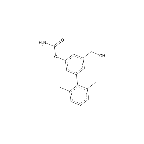 Cc1cccc(C)c1-c1cc(CO)cc(OC(N)=O)c1